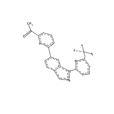 CC(=O)c1cccc(-c2ccc3cnn(-c4cccc(C(F)(F)F)n4)c3c2)n1